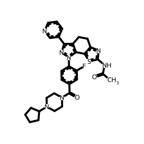 CC(=O)Nc1nc2c(s1)-c1c(c(-c3cccnc3)nn1-c1ccc(C(=O)N3CCN(C4CCCC4)CC3)cc1F)CC2